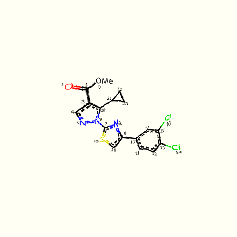 COC(=O)c1cnn(-c2nc(-c3ccc(Cl)c(Cl)c3)cs2)c1C1CC1